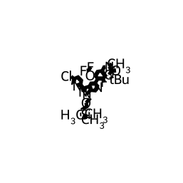 CN(Cc1cc(F)c(-c2cc3c(-c4ccc(Cl)cn4)nn(COCC[Si](C)(C)C)c3cn2)c(OC(F)F)c1)C(=O)OC(C)(C)C